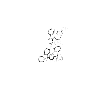 C[C@@H]1CC2C[C@@H](C1)[C@@]1(c3ccccc3-c3ccc(N(c4ccc5c(c4)C(C)(C)c4ccccc4-5)c4cccc5c4-c4ccccc4[C@@]54CC5CC[C@H]4C5)cc31)[C@@H](C)C2